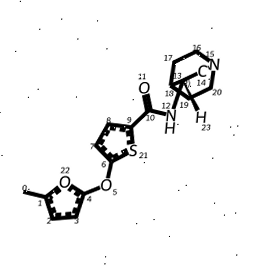 Cc1ccc(Oc2ccc(C(=O)N[C@H]3CN4CCC3CC4)s2)o1